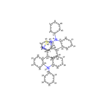 c1ccc(N(c2ccccc2)c2ccccc2-c2ccc(-c3ccccc3N(c3ccccc3)c3ccccc3)c3nsnc23)cc1